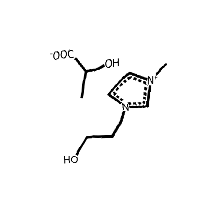 CC(O)C(=O)[O-].C[n+]1ccn(CCO)c1